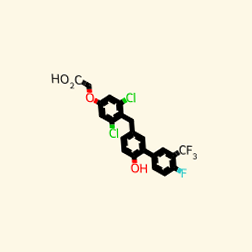 O=C(O)COc1cc(Cl)c(Cc2ccc(O)c(-c3ccc(F)c(C(F)(F)F)c3)c2)c(Cl)c1